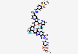 CCc1c(C(F)c2nc(CCc3c(C(O)c4ncccc4C(F)(F)F)nc4cc(C(=O)NCc5ccc(S(=O)(=O)CC)cn5)ccn34)ccc2C(F)(F)F)nc2cc(C(=O)NCc3ccc(S(=O)(=O)CC)cn3)ccn12